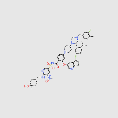 Cc1ccc(CN2CCN(C3CCN(c4ccc(C(=O)NS(=O)(=O)c5cnc(NC[C@H]6CC[C@](C)(O)CC6)c([NH+](C)[O-])c5)c(Oc5cnc6c(c5)C(F)=CC6)c4)CC3)C(c3ccccc3C(C)C)C2)cc1F